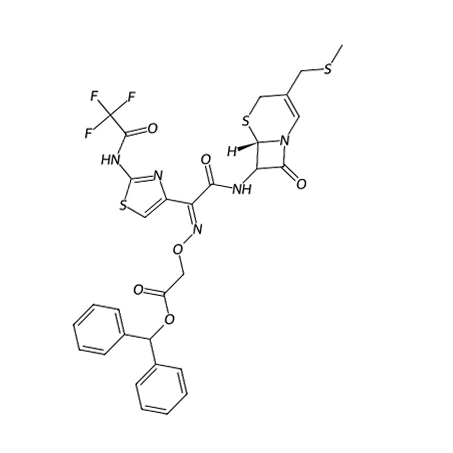 CSCC1=CN2C(=O)C(NC(=O)C(=NOCC(=O)OC(c3ccccc3)c3ccccc3)c3csc(NC(=O)C(F)(F)F)n3)[C@@H]2SC1